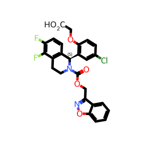 O=C(O)COc1ccc(Cl)cc1[C@@H]1c2ccc(F)c(F)c2CCN1C(=O)OCc1noc2ccccc12